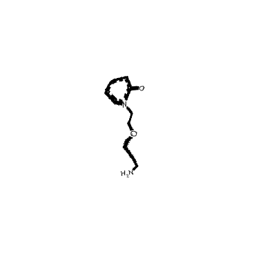 NCCOCCn1ccccc1=O